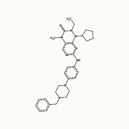 CCN1C(=O)N(C)c2cnc(Nc3ccc(N4CCN(Cc5ccccc5)CC4)cc3)nc2N1C1CCCC1